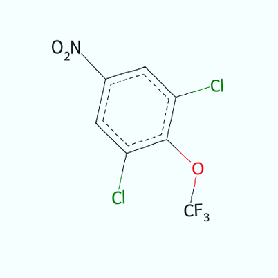 O=[N+]([O-])c1cc(Cl)c(OC(F)(F)F)c(Cl)c1